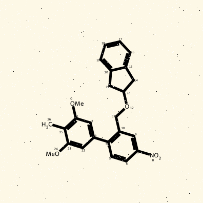 COc1cc(-c2ccc([N+](=O)[O-])cc2COC2Cc3ccccc3C2)cc(OC)c1C